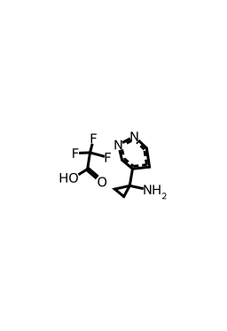 NC1(c2ccnnc2)CC1.O=C(O)C(F)(F)F